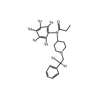 [2H]c1c([2H])c([2H])c(N(C(=O)CC)C2CCN(CC([2H])([2H])c3ccccc3)CC2)c([2H])c1[2H]